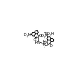 CS(=O)(=O)O.C[C@@H](CN1C(=O)c2cccc3cc([N+](=O)[O-])cc(c23)C1=O)NCCN[C@@H](C)CN1C(=O)c2cccc3cc([N+](=O)[O-])cc(c23)C1=O